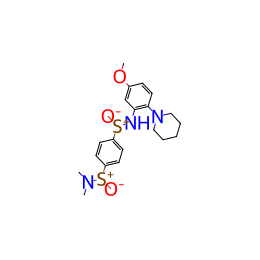 COc1ccc(N2CCCCC2)c(N[S+]([O-])c2ccc([S+]([O-])N(C)C)cc2)c1